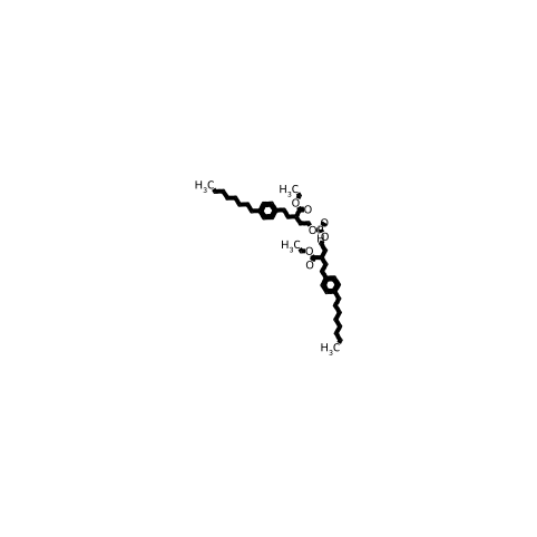 CCCCCCCCc1ccc(CCC(CCO[PH](=O)OCCC(CCc2ccc(CCCCCCCC)cc2)C(=O)OCC)C(=O)OCC)cc1